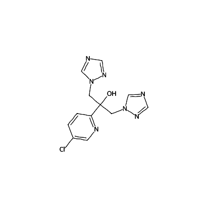 OC(Cn1cncn1)(Cn1cncn1)c1ccc(Cl)cn1